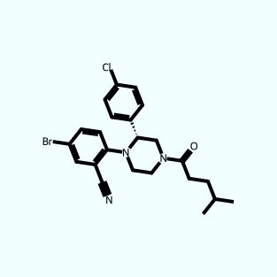 CC(C)CCC(=O)N1CCN(c2ccc(Br)cc2C#N)[C@H](c2ccc(Cl)cc2)C1